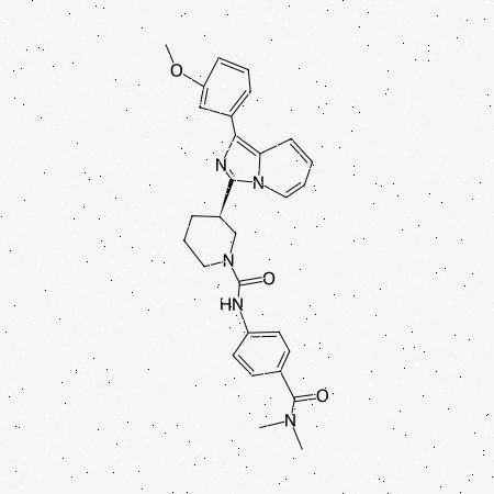 COc1cccc(-c2nc([C@@H]3CCCN(C(=O)Nc4ccc(C(=O)N(C)C)cc4)C3)n3ccccc23)c1